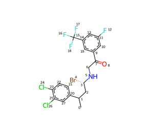 CC(C[C@H](Br)NCC(=O)c1cc(F)cc(C(F)(F)F)c1)c1ccc(Cl)c(Cl)c1